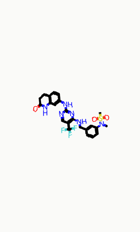 CN(c1cccc(CNc2nc(Nc3ccc4c(c3)NC(=O)CC4)ncc2C(F)(F)F)c1)S(C)(=O)=O